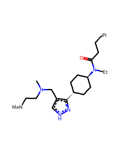 CCN(C(=O)CCC(C)C)[C@H]1CC[C@H](c2n[nH]cc2CN(C)CCNC)CC1